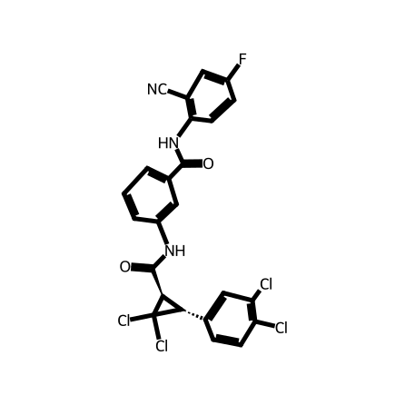 N#Cc1cc(F)ccc1NC(=O)c1cccc(NC(=O)[C@H]2[C@H](c3ccc(Cl)c(Cl)c3)C2(Cl)Cl)c1